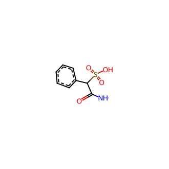 [NH]C(=O)C(c1ccccc1)S(=O)(=O)O